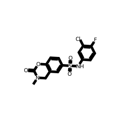 CN1Cc2cc(S(=O)(=O)Nc3ccc(F)c(Cl)c3)ccc2OC1=O